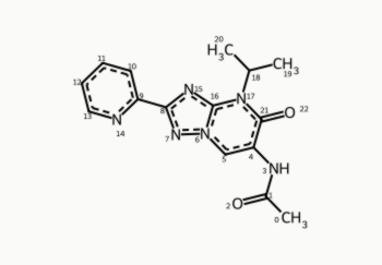 CC(=O)Nc1cn2nc(-c3ccccn3)nc2n(C(C)C)c1=O